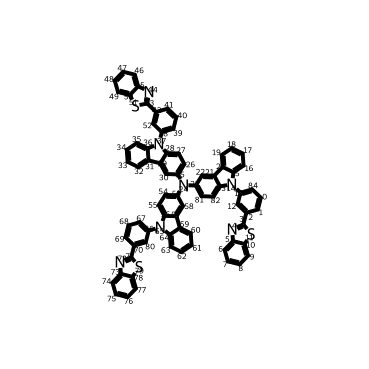 c1cc(-c2nc3ccccc3s2)cc(-n2c3ccccc3c3cc(N(c4ccc5c(c4)c4ccccc4n5-c4cccc(-c5nc6ccccc6s5)c4)c4ccc5c(c4)c4ccccc4n5-c4cccc(-c5nc6ccccc6s5)c4)ccc32)c1